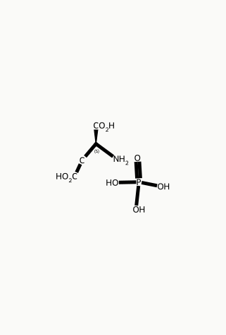 N[C@@H](CC(=O)O)C(=O)O.O=P(O)(O)O